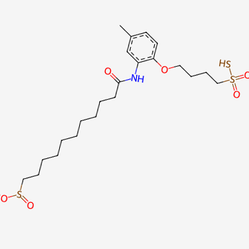 Cc1ccc(OCCCCS(=O)(=O)S)c(NC(=O)CCCCCCCCCCS(=O)O)c1